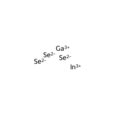 [Ga+3].[In+3].[Se-2].[Se-2].[Se-2]